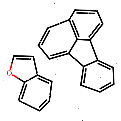 c1ccc2c(c1)-c1cccc3cccc-2c13.c1ccc2occc2c1